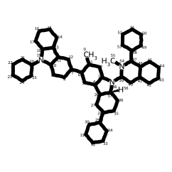 CC1CC2C(CC1C1CCC3C(C1)C1CCCCC1N3C1CCCCC1)C1CC(C3CCCCC3)CC[C@H]1N2C1CC2CCCCC2C(C2CCCCC2)N1C